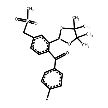 CC1(C)OB(c2cc(CS(C)(=O)=O)ccc2C(=O)c2ccc(F)cc2)OC1(C)C